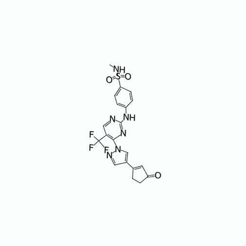 CNS(=O)(=O)c1ccc(Nc2ncc(C(F)(F)F)c(-n3cc(C4=CC(=O)CC4)cn3)n2)cc1